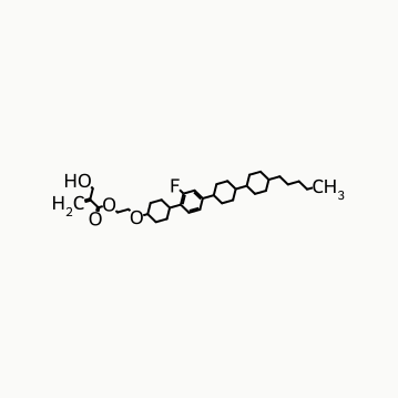 C=C(CO)C(=O)OCCOC1CCC(c2ccc(C3CCC(C4CCC(CCCCC)CC4)CC3)cc2F)CC1